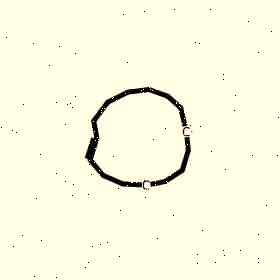 [CH]1CCCCCC/C=C/CCCCCC1